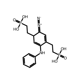 [N-]=[N+]=C1C=C(CCP(=O)(O)O)C(Nc2ccccc2)=CC1CCP(=O)(O)O